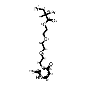 CC(C)CC(C)(C(=O)OCCOCCOCCn1c(=O)cc[nH]c1=S)C(C)C